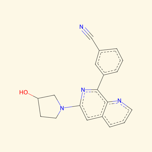 N#Cc1cccc(-c2nc(N3CCC(O)C3)cc3cccnc23)c1